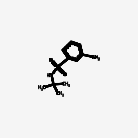 CC(C)(C)NS(=O)(=O)c1cccc(N)c1